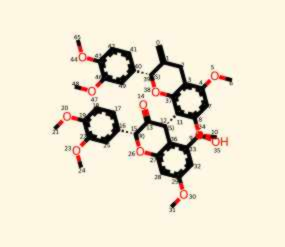 C=C1Cc2c(OC)cc(OC)c([C@H]3C(=O)[C@@H](c4ccc(OC)c(OC)c4)Oc4cc(OC)cc(CO)c43)c2O[C@@H]1c1ccc(OC)c(OC)c1